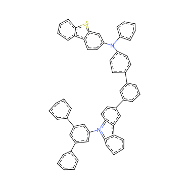 c1ccc(-c2cc(-c3ccccc3)cc(-n3c4ccccc4c4cc(-c5cccc(-c6ccc(N(c7ccccc7)c7ccc8c(c7)sc7ccccc78)cc6)c5)ccc43)c2)cc1